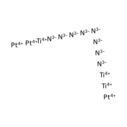 [N-3].[N-3].[N-3].[N-3].[N-3].[N-3].[N-3].[N-3].[Pt+4].[Pt+4].[Pt+4].[Ti+4].[Ti+4].[Ti+4]